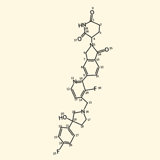 O=C1CCC(N2Cc3cc(-c4nccc(CN5CCC(O)(c6ccc(F)cc6)C5)c4F)ccc3C2=O)C(=O)N1